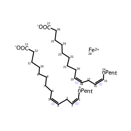 CCCCC/C=C\C/C=C\CCCCCCCC(=O)[O-].CCCCC/C=C\C/C=C\CCCCCCCC(=O)[O-].[Fe+2]